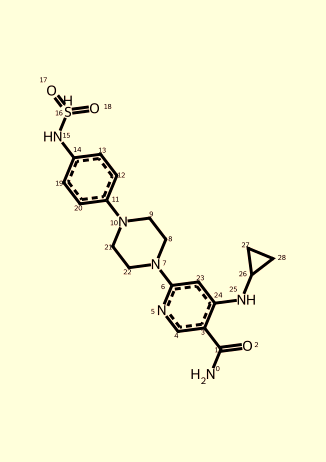 NC(=O)c1cnc(N2CCN(c3ccc(N[SH](=O)=O)cc3)CC2)cc1NC1CC1